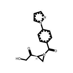 O=C(CO)[C@@H]1CN1C(=O)c1ccc(-n2cccn2)cc1